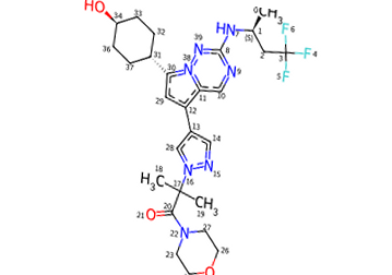 C[C@@H](CC(F)(F)F)Nc1ncc2c(-c3cnn(C(C)(C)C(=O)N4CCOCC4)c3)cc([C@H]3CC[C@H](O)CC3)n2n1